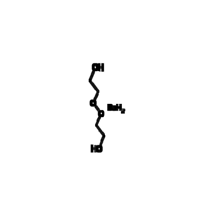 OCCOOCCO.[BaH2]